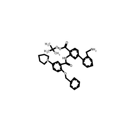 CC(C)(C)OOC(=O)c1ccc(-c2ccccc2CN)cc1NC(=O)c1cc(N2CCCCC2)ccc1OCc1ccccc1